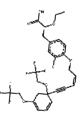 CCO[C@@H](Cc1ccc(OC/C=C\C#CC2(OCC(F)(F)F)C=CC=C(OCC(F)(F)F)C2)c(Cl)c1)C(=O)O